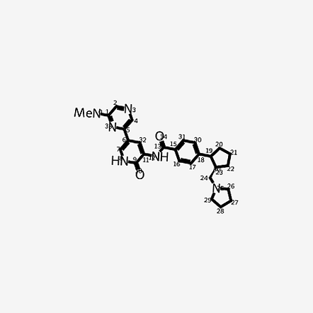 CNc1cncc(-c2c[nH]c(=O)c(NC(=O)c3ccc(C4CCC[C@H]4CN4CCCC4)cc3)c2)n1